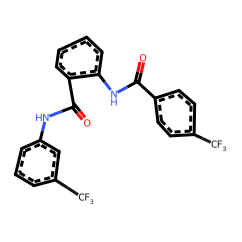 O=C(Nc1ccccc1C(=O)Nc1cccc(C(F)(F)F)c1)c1ccc(C(F)(F)F)cc1